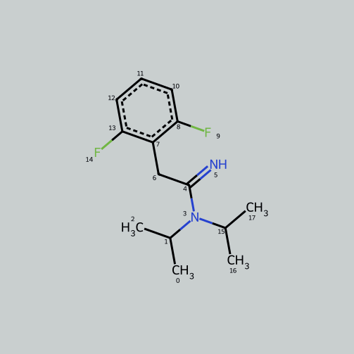 CC(C)N(C(=N)Cc1c(F)cccc1F)C(C)C